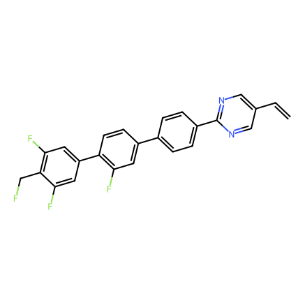 C=Cc1cnc(-c2ccc(-c3ccc(-c4cc(F)c(CF)c(F)c4)c(F)c3)cc2)nc1